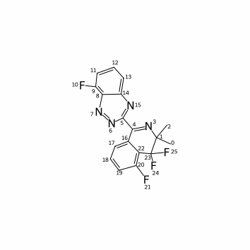 CC1(C)N=C(c2nnc3c(F)cccc3n2)c2cccc(F)c2C1(F)F